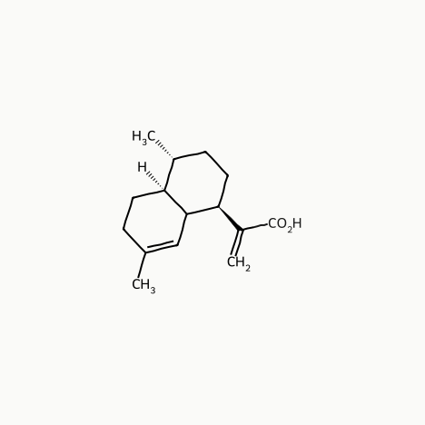 C=C(C(=O)O)[C@@H]1CC[C@@H](C)[C@@H]2CCC(C)=CC21